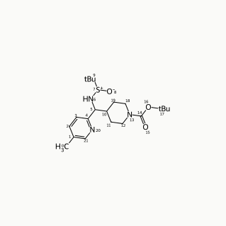 Cc1ccc(C(N[S+]([O-])C(C)(C)C)C2CCN(C(=O)OC(C)(C)C)CC2)nc1